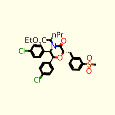 CCC[C@H](C(=O)OCC)N1C(=O)[C@H](Cc2cccc(S(C)(=O)=O)c2)O[C@@H](c2ccc(Cl)cc2)[C@H]1c1ccc(Cl)cc1